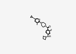 Cc1cc(C2CC2)cnc1N1CCN(C(=O)c2ccc(NB3CCC3)cc2F)CC1